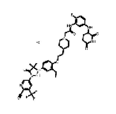 CCc1cc([SH]2NN(c3cnc(C#N)c(C(F)(F)F)c3)C(=O)C2(C)C)ccc1OCCC1CCN(CC(=O)Nc2cc(NC3CCC(=O)NC3=O)ccc2F)CC1.Cl